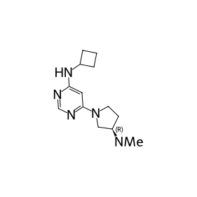 CN[C@@H]1CCN(c2cc(NC3CCC3)ncn2)C1